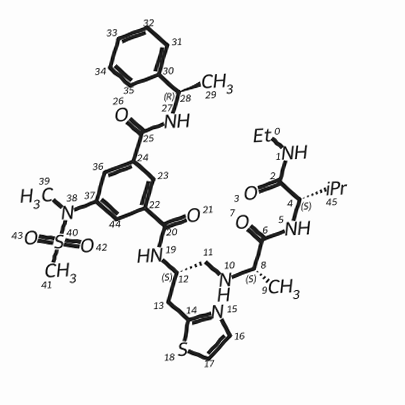 CCNC(=O)[C@@H](NC(=O)[C@H](C)NC[C@H](Cc1nccs1)NC(=O)c1cc(C(=O)N[C@H](C)c2ccccc2)cc(N(C)S(C)(=O)=O)c1)C(C)C